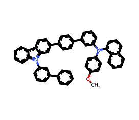 COc1ccc(N(c2cccc(-c3ccc(-c4ccc5c6ccccc6n(-c6cccc(-c7ccccc7)c6)c5c4)cc3)c2)c2cccc3ccccc23)cc1